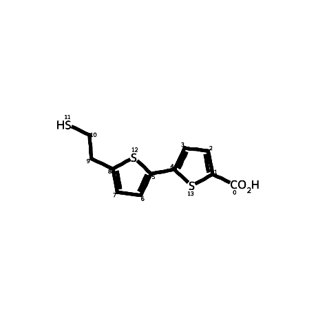 O=C(O)c1ccc(-c2ccc(CCS)s2)s1